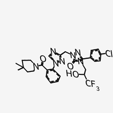 CC1(C)CCN(C(=O)c2ccccc2-n2cnc(Cn3nc(-c4ccc(Cl)cc4)n(CC(O)C(F)(F)F)c3=O)n2)CC1